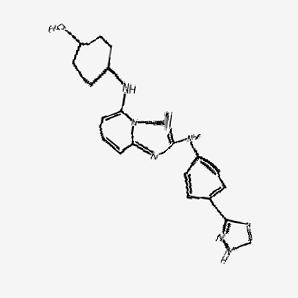 OC1CCC(Nc2cccc3nc(Nc4ccc(-c5nc[nH]n5)cc4)nn23)CC1